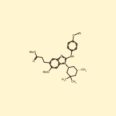 COC(=O)CCc1cc2nc(Nc3ccc(OC(C)C)cc3)n([C@H]3C[C@H](C)CC(C)(C)C3)c2cc1OC